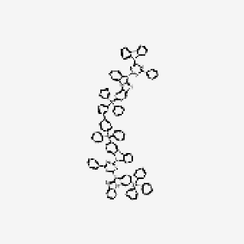 c1ccc(-c2nc(-n3c4ccccc4c4ccccc43)nc(-n3c4ccccc4n4c5cc([Si](c6ccccc6)(c6ccccc6)c6cccc(-c7ccc([Si](c8ccccc8)(c8ccccc8)c8ccc9c(c8)c8ccccc8n9-c8nc(-c9ccccc9)nc(-n9c%10ccc([Si](c%11ccccc%11)(c%11ccccc%11)c%11ccccc%11)cc%10n%10c%11ccccc%11nc9%10)n8)cc7)c6)ccc5nc34)n2)cc1